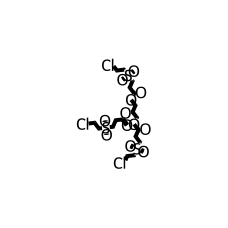 O=C(CCS(=O)(=O)CCCl)OCC(COC(=O)CCS(=O)(=O)CCCl)OC(=O)CCS(=O)(=O)CCCl